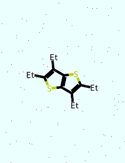 CCc1sc2c(CC)c(CC)sc2c1CC